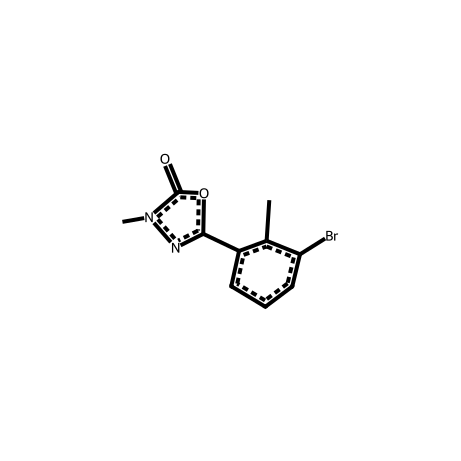 Cc1c(Br)cccc1-c1nn(C)c(=O)o1